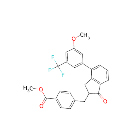 COC(=O)c1ccc(CC2Cc3c(cccc3-c3cc(OC)cc(C(F)(F)F)c3)C2=O)cc1